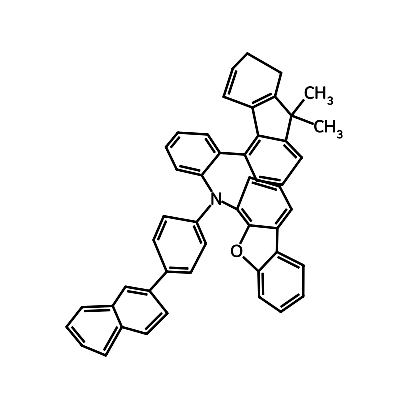 CC1(C)C2=C(C=CCC2)c2c(-c3ccccc3N(c3ccc(-c4ccc5ccccc5c4)cc3)c3cccc4c3oc3ccccc34)cccc21